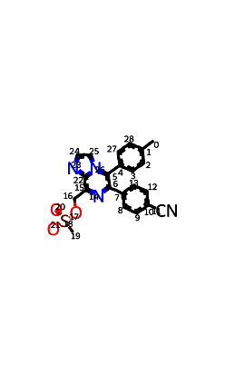 Cc1ccc(-c2c(-c3ccc(C#N)cc3)nc(COS(C)(=O)=O)c3nccn23)cc1